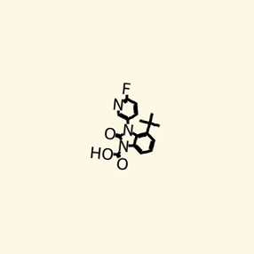 CC(C)(C)c1cccc2c1n(-c1ccc(F)nc1)c(=O)n2C(=O)O